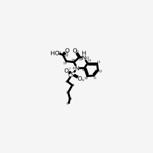 CCCCCS(=O)(=O)N1c2ccccc2NC(=O)C1CC(=O)O